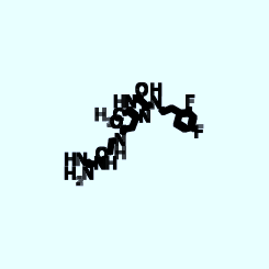 Cc1[nH]c(=O)c(NCCc2ccc(F)cc2F)nc1CC(=O)NCCONC(=N)N